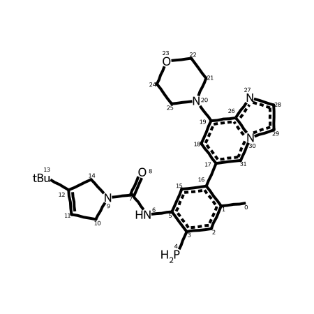 Cc1cc(P)c(NC(=O)N2CC=C(C(C)(C)C)C2)cc1-c1cc(N2CCOCC2)c2nccn2c1